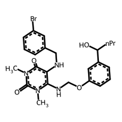 CCCC(O)c1cccc(OCNc2c(NCc3cccc(Br)c3)c(=O)n(C)c(=O)n2C)c1